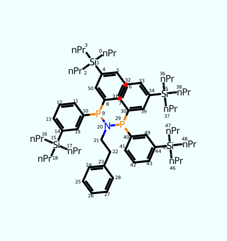 CCC[Si](CCC)(CCC)c1cccc(P(c2cccc([Si](CCC)(CCC)CCC)c2)N(CCc2ccccc2)P(c2cccc([Si](CCC)(CCC)CCC)c2)c2cccc([Si](CCC)(CCC)CCC)c2)c1